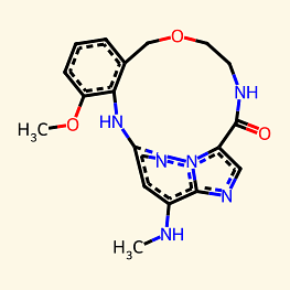 CNc1cc2nn3c(cnc13)C(=O)NCCOCc1cccc(OC)c1N2